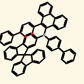 c1ccc(-c2ccc(-c3c(N(c4ccc(-c5ccccc5)cc4)c4ccc5c(c4)C4(c6ccccc6-c6ccccc64)c4ccccc4-5)c4ccccc4c4ccccc34)cc2)cc1